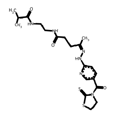 CC(CCC(=O)NCCNC(=O)C(C)C)=NNc1ccc(C(=O)N2CCSC2=S)cn1